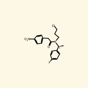 C[C@@H](c1ccc(F)cc1)N(CCCCl)C(=O)Cc1ccc([N+](=O)[O-])cc1